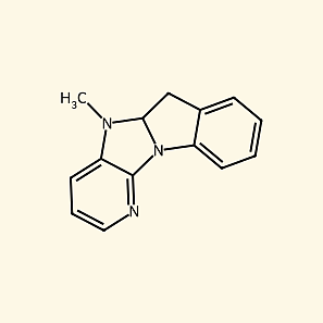 CN1c2cccnc2N2c3ccccc3CC12